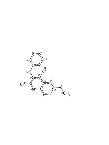 [CH2]Cc1ccc2nc(Cl)c(Cc3ccccc3)c(Cl)c2c1